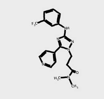 CN(C)C(=O)CCn1nc(Nc2cccc(C(F)(F)F)c2)nc1-c1ccncc1